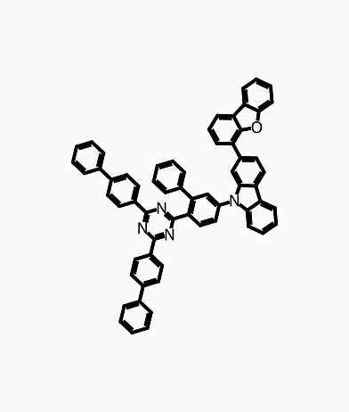 c1ccc(-c2ccc(-c3nc(-c4ccc(-c5ccccc5)cc4)nc(-c4ccc(-n5c6ccccc6c6ccc(-c7cccc8c7oc7ccccc78)cc65)cc4-c4ccccc4)n3)cc2)cc1